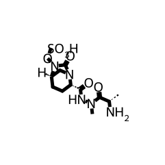 C[C@H](N)C(=O)N(C)NC(=O)[C@@H]1CC[C@@H]2CN1C(=O)N2OS(=O)(=O)O